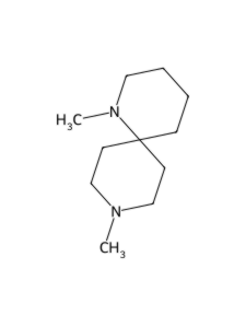 CN1CCC2(CCCCN2C)CC1